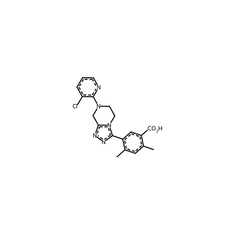 Cc1cc(C)c(-c2nnc3n2CCN(c2ncccc2Cl)C3)cc1C(=O)O